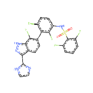 O=S(=O)(Nc1ccc(F)c(-c2ccc3c(-c4ncc[nH]4)n[nH]c3c2F)c1F)c1c(F)cccc1F